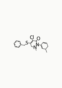 CC1C=C(N2C(=O)C(Cl)=C(SCc3ccccc3)CN2C)C=CC1